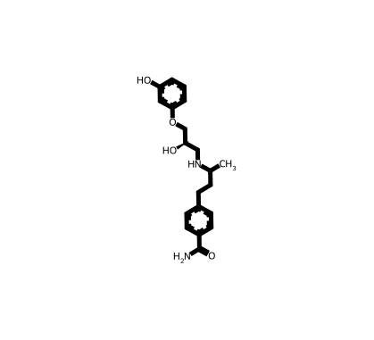 CC(CCc1ccc(C(N)=O)cc1)NC[C@@H](O)COc1cccc(O)c1